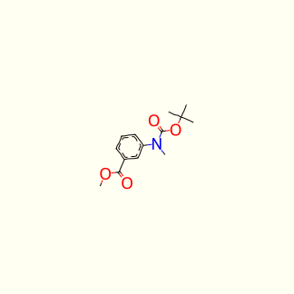 COC(=O)c1cccc(N(C)C(=O)OC(C)(C)C)c1